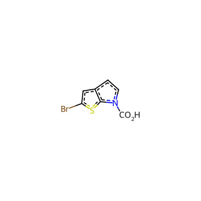 O=C(O)n1ccc2cc(Br)sc21